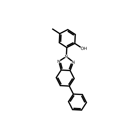 Cc1ccc(O)c(-n2nc3ccc(-c4ccccc4)cc3n2)c1